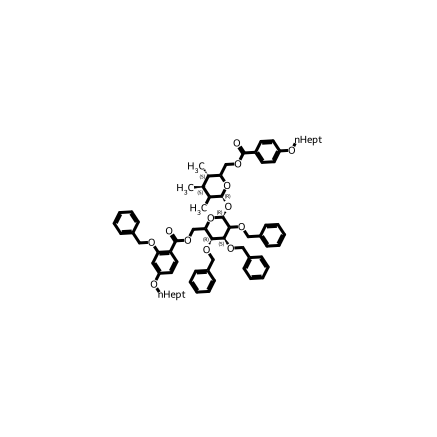 CCCCCCCOc1ccc(C(=O)OCC2O[C@H](O[C@H]3OC(COC(=O)c4ccc(OCCCCCCC)cc4OCc4ccccc4)[C@@H](OCc4ccccc4)[C@H](OCc4ccccc4)C3OCc3ccccc3)C(C)[C@@H](C)[C@@H]2C)cc1